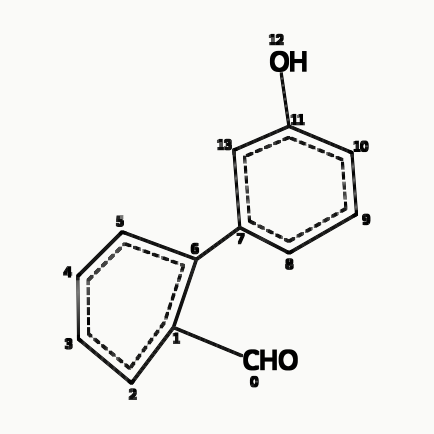 O=Cc1ccccc1-c1cccc(O)c1